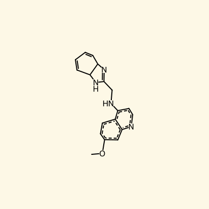 COc1ccc2c(NCC3=NC4C=CC=CC4N3)ccnc2c1